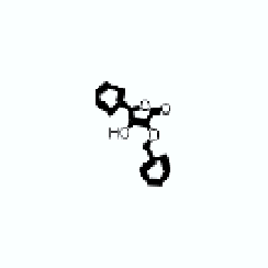 O=C1OC(c2ccccc2)C(O)=C1OCc1ccccc1